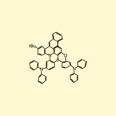 Cc1cc2c3c(c1)N(c1ccc(C(C)(C)C)cc1-c1ccc4ccccc4c1)c1cc(N(c4ccccc4)c4ccccc4)ccc1B3c1ccc(N(c3ccccc3)c3ccccc3)cc1O2